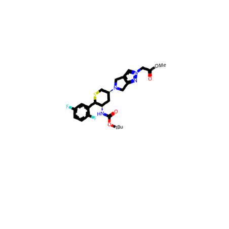 COC(=O)Cn1cc2c(n1)CN([C@H]1CSC(c3cc(F)ccc3F)[C@@H](NC(=O)OC(C)(C)C)C1)C2